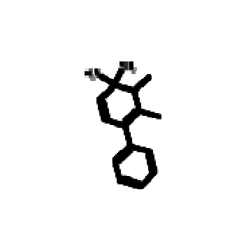 CC1=C(c2ccccc2)C=CC(N)(N)C1C